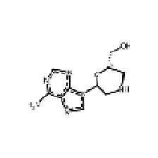 Nc1ncnc2c1ncn2C1CNC[C@@H](CO)O1